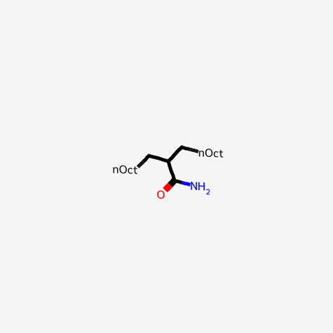 CCCCCCCCCC(CCCCCCCCC)C(N)=O